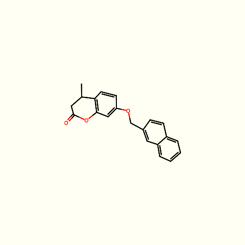 CC1CC(=O)Oc2cc(OCc3ccc4ccccc4c3)ccc21